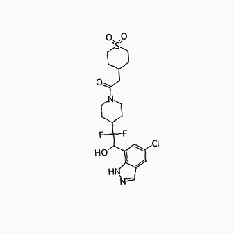 O=C(CC1CCS(=O)(=O)CC1)N1CCC(C(F)(F)C(O)c2cc(Cl)cc3cn[nH]c23)CC1